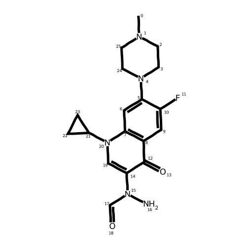 CN1CCN(c2cc3c(cc2F)c(=O)c(N(N)C=O)cn3C2CC2)CC1